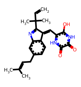 C=CC(C)(C)C1=Nc2cc(CC=C(C)C)ccc2/C1=C\c1[nH]c(=O)c(=O)[nH]c1O